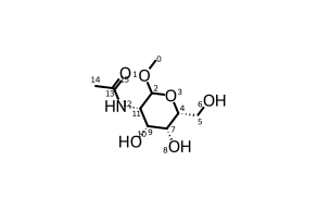 COC1O[C@H](CO)[C@H](O)[C@H](O)[C@@H]1NC(C)=O